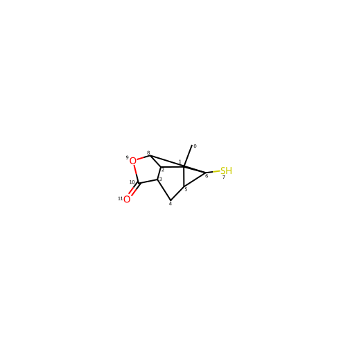 CC12C3C4CC1C2(S)C3OC4=O